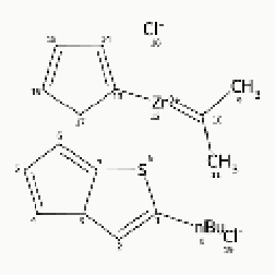 CCCCC1=CC2C=CC=C2S1.C[C](C)=[Zr+2][C]1=CC=CC1.[Cl-].[Cl-]